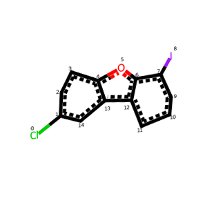 Clc1ccc2oc3c(I)cccc3c2c1